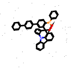 c1ccc(-c2ccc(-c3ccc4c(c3)C3(c5ccccc5-n5c6ccccc6c6cccc3c65)c3ccccc3P4c3ccccc3)cc2)cc1